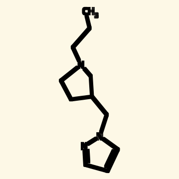 CCCN1CCC(Cn2cccn2)C1